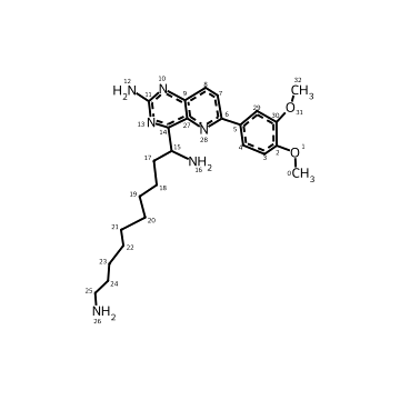 COc1ccc(-c2ccc3nc(N)nc(C(N)CCCCCCCCCN)c3n2)cc1OC